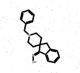 O/N=C1\c2ccccc2CC12CCN(Cc1ccccc1)CC2